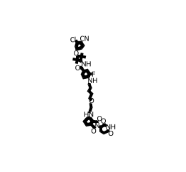 CC1(C)C(NC(=O)c2ccc(NCCCCCOCCCNc3cccc4c3C(=O)N(C3CCC(=O)NC3=O)C4=O)c(F)c2)C(C)(C)C1Oc1ccc(C#N)c(Cl)c1